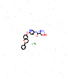 Cl.N[C@@H](CO)C(=O)Nc1ccc(Oc2ccc3c(c2)CCC(c2ccccc2)O3)nc1